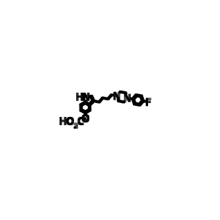 O=C(O)Oc1ccc2[nH]cc(CCCCN3CCN(c4ccc(F)cc4)CC3)c2c1